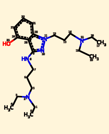 CCN(CC)CCCNc1nn(CCCN(CC)CC)c2cccc(O)c12